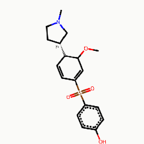 COC1C=C(S(=O)(=O)c2ccc(O)cc2)C=CC1[C@@H]1CCN(C)C1